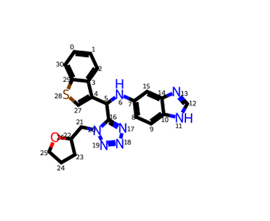 c1ccc2c(C(Nc3ccc4[nH]cnc4c3)c3nnnn3CC3CCCO3)csc2c1